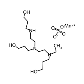 CCN(CCCO)CCN(CCCO)CCNCCCO.O=S(=O)([O-])[O-].[Mn+2]